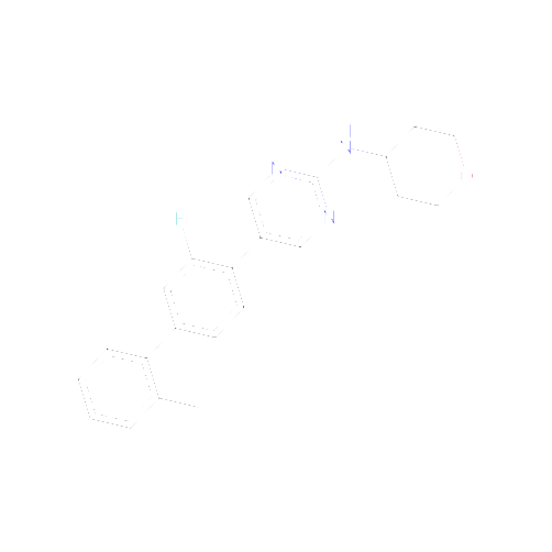 [CH]c1ccccc1-c1ccc(-c2cnc(NC3CCOCC3)nc2)c(F)c1